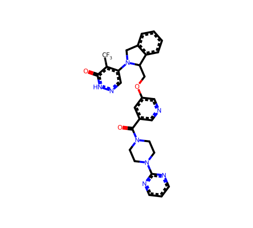 O=C(c1cncc(OCC2c3ccccc3CN2c2cn[nH]c(=O)c2C(F)(F)F)c1)N1CCN(c2ncccn2)CC1